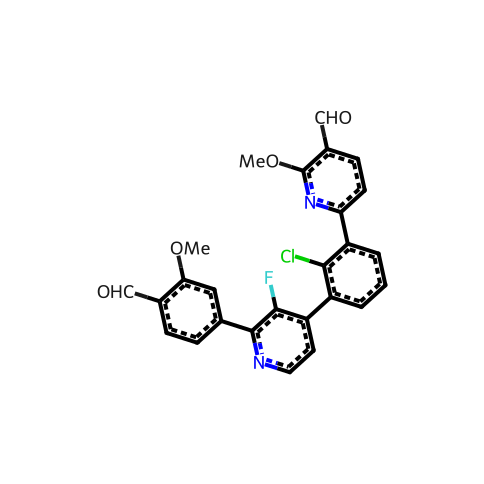 COc1cc(-c2nccc(-c3cccc(-c4ccc(C=O)c(OC)n4)c3Cl)c2F)ccc1C=O